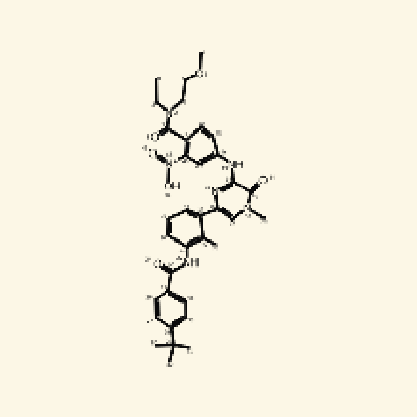 CCN(CCOC)C(=O)c1ccc(Nc2nc(-c3cccc(NC(=O)c4ccc(C(C)(C)C)cc4)c3C)cn(C)c2=O)cc1[N+](=O)O